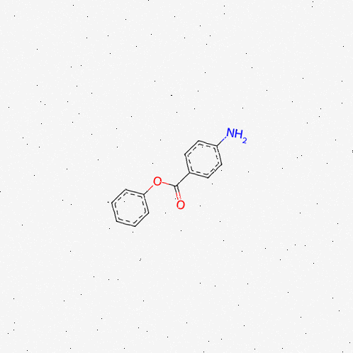 Nc1ccc(C(=O)Oc2c[c]ccc2)cc1